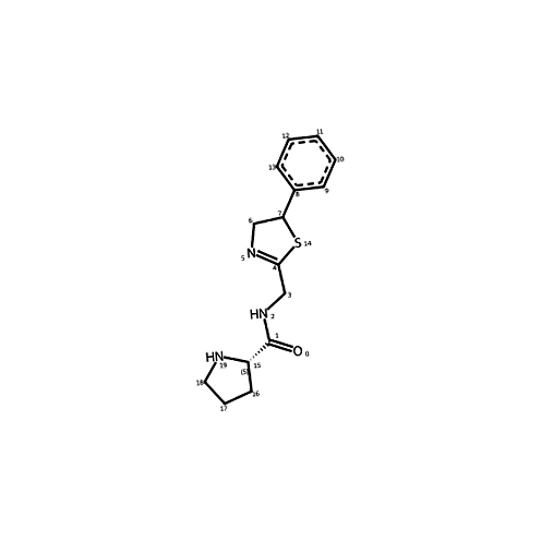 O=C(NCC1=NCC(c2ccccc2)S1)[C@@H]1CCCN1